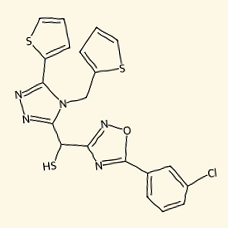 SC(c1noc(-c2cccc(Cl)c2)n1)c1nnc(-c2cccs2)n1Cc1cccs1